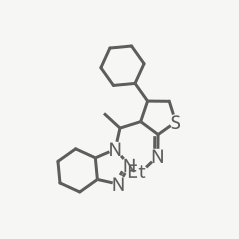 CC/N=C1/SCC(C2CCCCC2)C1C(C)N1N=NC2CCCCC21